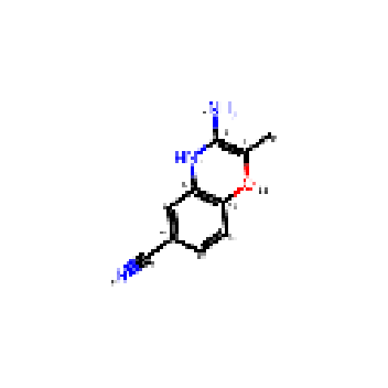 CC1=C(N)Nc2cc(C#N)ccc2O1